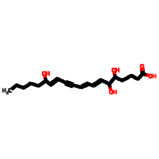 CCCCCC(O)C=CC#CC=CC=CC(O)C(O)CCCC(=O)O